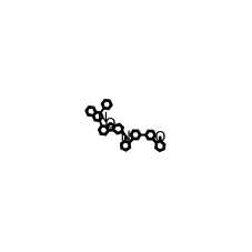 c1ccc(-c2nc(-c3cccc4c3oc3ccc(-n5c6ccccc6c6cc(-c7ccc8oc9ccccc9c8c7)ccc65)cc34)cc3ccccc23)cc1